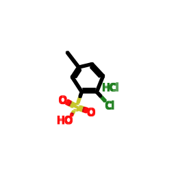 Cc1ccc(Cl)c(S(=O)(=O)O)c1.Cl